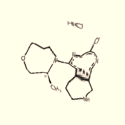 C[C@H]1COCCN1c1nc(Cl)nc2c1CCNC2.Cl